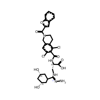 N/N=C(\NC[C@H](NC(=O)c1c(Cl)cc2c(c1Cl)CCN(C(=O)c1cc3ccccc3o1)C2)C(=O)O)C1C[C@@H](O)C[C@@H](O)C1